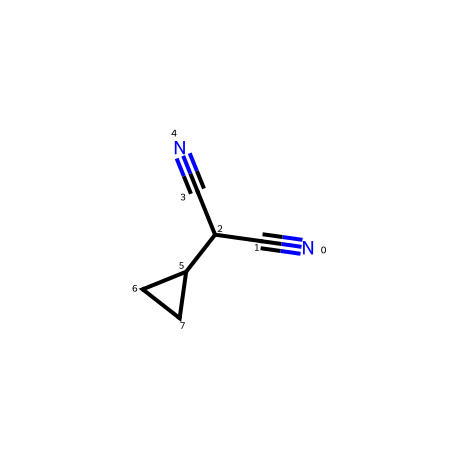 N#CC(C#N)C1CC1